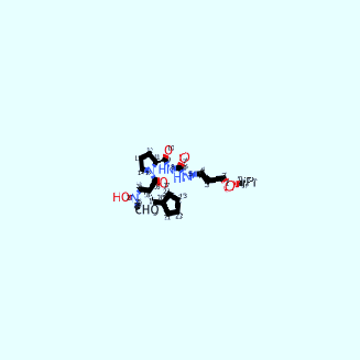 CC(C)OCCCNC(=O)NC(=O)[C@@H]1CCCN1C(=O)[C@H](CC1CCCC1)CN(O)C=O